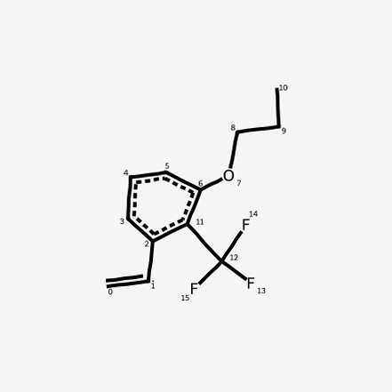 C=[C]c1cccc(OCCC)c1C(F)(F)F